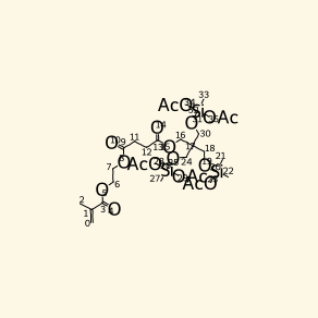 C=C(C)C(=O)OCCOC(=O)CCC(=O)OCC(CO[Si](C)(C)OC(C)=O)(CO[Si](C)(OC(C)=O)OC(C)=O)CO[Si](C)(OC(C)=O)OC(C)=O